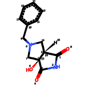 O=C1NC(=O)[C@@]2(O)CN(Cc3ccccc3)C[C@@H]12